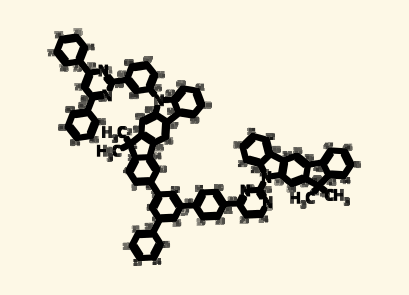 CC1(C)c2ccc(-c3cc(-c4ccccc4)cc(-c4ccc(-c5ccnc(-n6c7ccccc7c7cc8c(cc76)C(C)(C)c6ccccc6-8)n5)cc4)c3)cc2-c2cc3c4ccccc4n(-c4cccc(-c5nc(-c6ccccc6)cc(-c6ccccc6)n5)c4)c3cc21